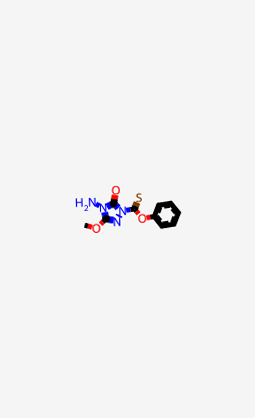 COc1nn(C(=S)Oc2ccccc2)c(=O)n1N